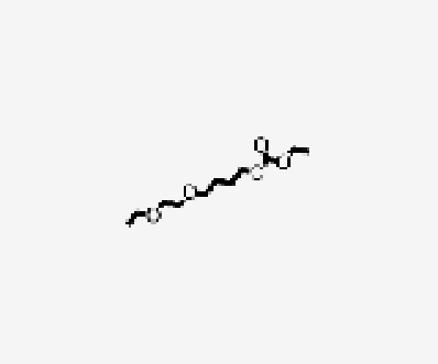 CCOCCOCCCCOC(=O)OCC